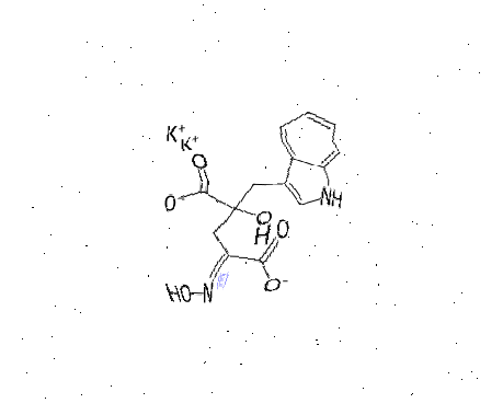 O=C([O-])/C(CC(O)(Cc1c[nH]c2ccccc12)C(=O)[O-])=N/O.[K+].[K+]